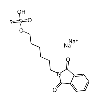 O=C1c2ccccc2C(=O)N1CCCCCCOS(=O)(O)=S.[Na+].[Na+]